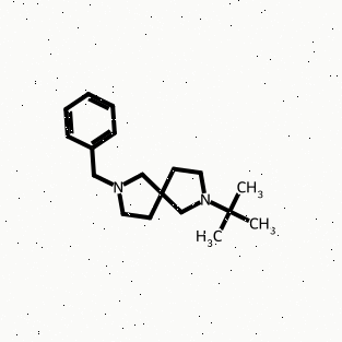 CC(C)(C)N1CCC2(CCN(Cc3ccccc3)C2)C1